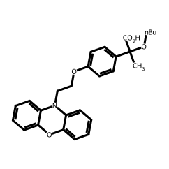 CCCCOC(C)(C(=O)O)c1ccc(OCCN2c3ccccc3Oc3ccccc32)cc1